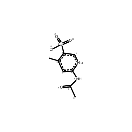 CC(=O)Nc1cc(C)c(S(=O)(=O)Cl)cn1